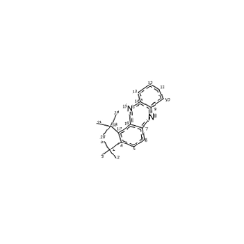 CC(C)(C)c1ccc2nc3ccccc3nc2c1C(C)(C)C